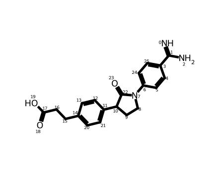 N=C(N)c1ccc(N2CCC(c3ccc(CCC(=O)O)cc3)C2=O)cc1